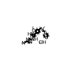 COc1cc(CN(C)CCN2CCOCC2)ccc1-c1cc(Nc2cnc(C#N)cn2)n[nH]1.Cl